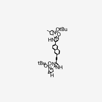 C[C@@H]1C[C@@H](c2ncc(-c3ccc4cc(C#Cc5c[nH]c([C@@H]6C[C@H]7CC7N6C(=O)OC(C)(C)C)n5)ccc4c3)[nH]2)N(C(=O)OC(C)(C)C)C1